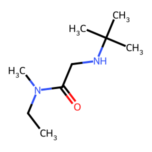 CCN(C)C(=O)CNC(C)(C)C